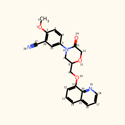 COc1ccc(N2CC(COc3cccc4cccnc34)OCC2=O)cc1C#N